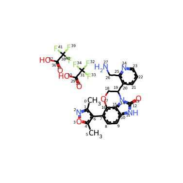 Cc1noc(C)c1-c1ccc2[nH]c(=O)n3c2c1OCC3c1cccnc1CN.O=C(O)C(F)(F)F.O=C(O)C(F)(F)F